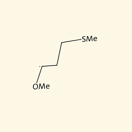 CO[CH]CCSC